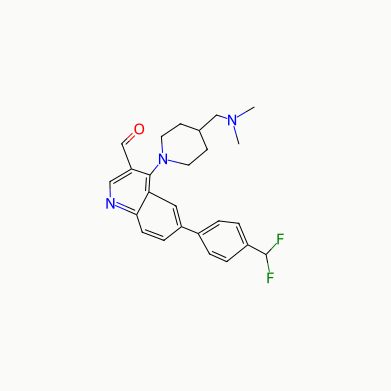 CN(C)CC1CCN(c2c(C=O)cnc3ccc(-c4ccc(C(F)F)cc4)cc23)CC1